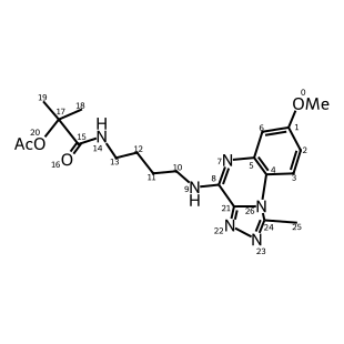 COc1ccc2c(c1)nc(NCCCCNC(=O)C(C)(C)OC(C)=O)c1nnc(C)n12